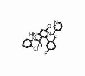 O=c1c2c(-c3cc(F)ccc3F)n(Cc3cccnc3)c(=O)cc2[nH]n1-c1ccccc1Cl